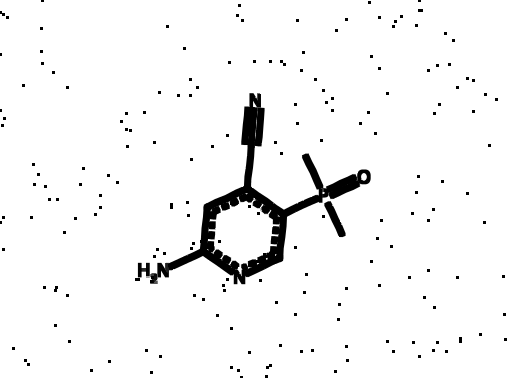 CP(C)(=O)c1cnc(N)cc1C#N